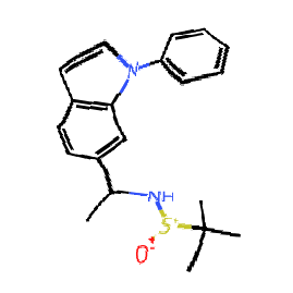 CC(N[S@+]([O-])C(C)(C)C)c1ccc2ccn(-c3ccccc3)c2c1